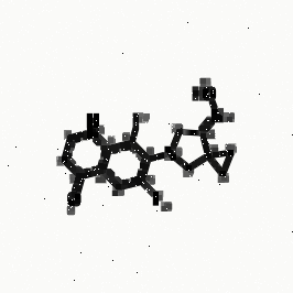 O=c1cc[nH]c2c(F)c(N3CC(=NO)C4(CC4)C3)c(F)cc12